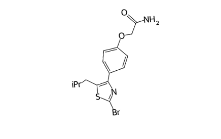 CC(C)Cc1sc(Br)nc1-c1ccc(OCC(N)=O)cc1